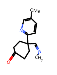 C/N=C\C1(c2ccc(OC)cn2)CCC(=O)CC1